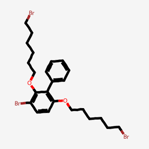 BrCCCCCCOc1ccc(Br)c(OCCCCCCBr)c1-c1ccccc1